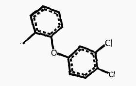 [CH2]c1ccccc1Oc1ccc(Cl)c(Cl)c1